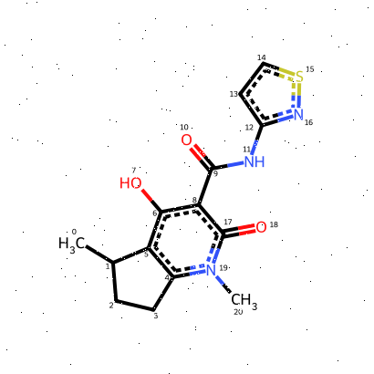 CC1CCc2c1c(O)c(C(=O)Nc1ccsn1)c(=O)n2C